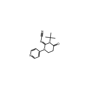 CC(C)(C)N1C(=O)CCN(c2ccncc2)C1=NC#N